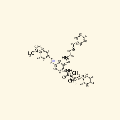 CN(C)c1ccc(/C=C/c2ccc(NC(=O)C(C)(C)SCc3ccccc3)c(CNCCSCc3ccccc3)c2)cc1